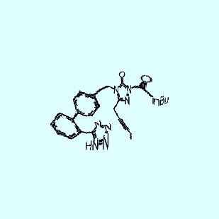 CC#CCc1nn(C(=O)CCCC)c(=O)n1Cc1ccc(-c2ccccc2-c2nnn[nH]2)cc1